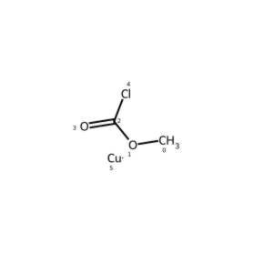 COC(=O)Cl.[Cu]